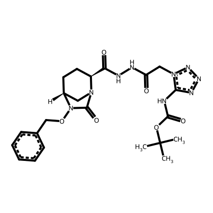 CC(C)(C)OC(=O)Nc1nnnn1CC(=O)NNC(=O)[C@@H]1CC[C@@H]2CN1C(=O)N2OCc1ccccc1